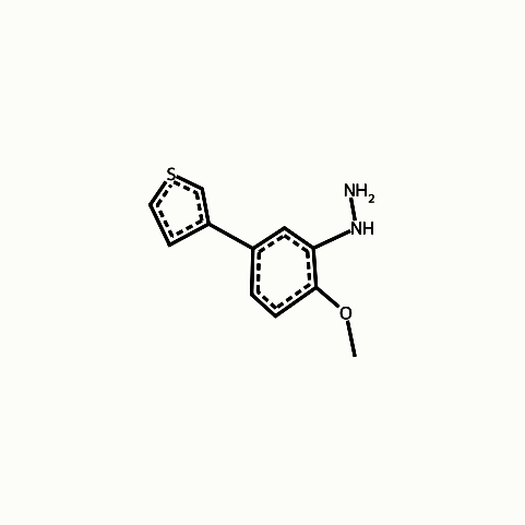 COc1ccc(-c2ccsc2)cc1NN